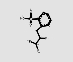 O=S(=O)(O)c1ccccc1CC(F)C(F)F